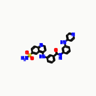 NS(=O)(=O)c1ccc2nccc(Nc3cccc(C(=O)Nc4cccc(Nc5ccncc5)c4)c3)c2c1